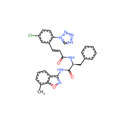 Cc1cccc2c(NC(=O)[C@H](Cc3ccccc3)NC(=O)/C=C/c3cc(Cl)ccc3-n3cnnn3)noc12